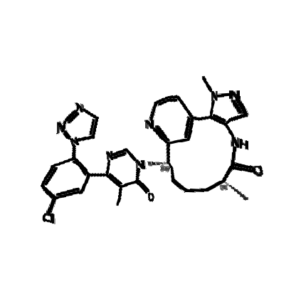 Cc1c(-c2cc(Cl)ccc2-n2ccnn2)ncn([C@H]2CCC[C@@H](C)C(=O)Nc3cnn(C)c3-c3ccnc2c3)c1=O